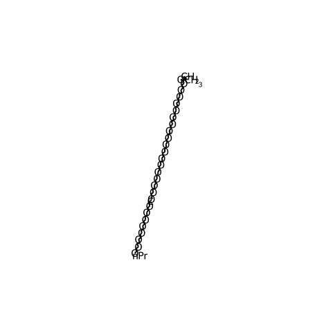 C=C(C)C(=O)OCCOCCOCCOCCOCCOCCOCCOCCOCCOCCOCCOCCOCCOCCOCCOCCOCCOCCOCCOCCOCCOCCOCCOCCOCCOCCC